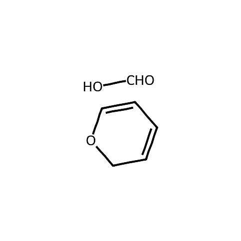 C1=CCOC=C1.O=CO